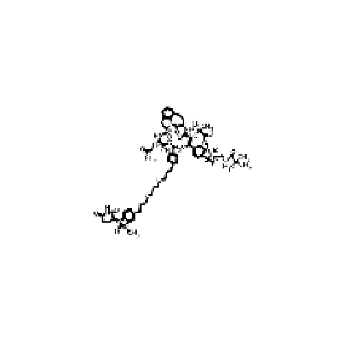 C/C(=C\C(=O)N[C@H]1CCc2cccc3c2N(C1=O)[C@H](C(=O)N[C@@H](CCC(N)=O)[C@@H](C)OCc1ccc(CCCOCCCOCCCc2ccc4c(c2)n(C)c(=O)n4C2CCC(=O)NC2=O)cc1)C3)c1ccc(C(F)(F)P(=O)(OCOC(=O)C(C)(C)C)OCOC(=O)C(C)(C)C)cc1